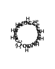 c1cc2cc(c1)CNCCNCCNCCNCc1cccc(c1)CNCCNCCNCCNC2